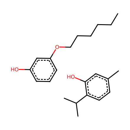 CCCCCCOc1cccc(O)c1.Cc1ccc(C(C)C)c(O)c1